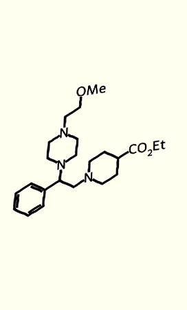 CCOC(=O)C1CCN(CC(c2ccccc2)N2CCN(CCOC)CC2)CC1